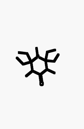 CCC1(CC)C(C)C(=O)C(C)C(CC)(CC)P1C